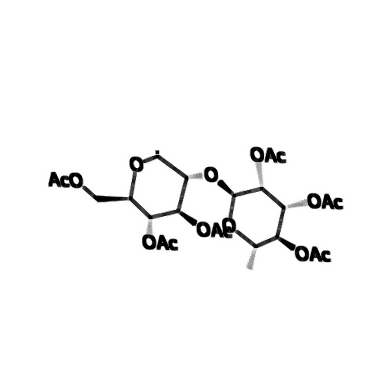 CC(=O)OC[C@H]1O[CH][C@H](O[C@@H]2O[C@@H](C)[C@H](OC(C)=O)[C@@H](OC(C)=O)[C@H]2OC(C)=O)[C@@H](OC(C)=O)[C@@H]1OC(C)=O